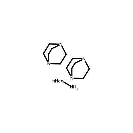 C1CN2CCN1CC2.C1CN2CCN1CC2.CCCCCCN